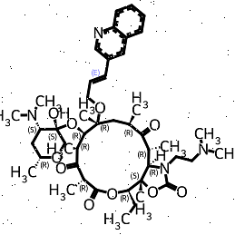 CC[C@H]1OC(=O)[C@H](C)C(=O)[C@H](C)[C@@H](O[C@]2(O)CO[C@H](C)C[C@@H]2N(C)C)[C@](C)(OC/C=C/c2cnc3ccccc3c2)C[C@@H](C)C(=O)[C@H](C)[C@H]2N(CCN(C)C)C(=O)O[C@]12C